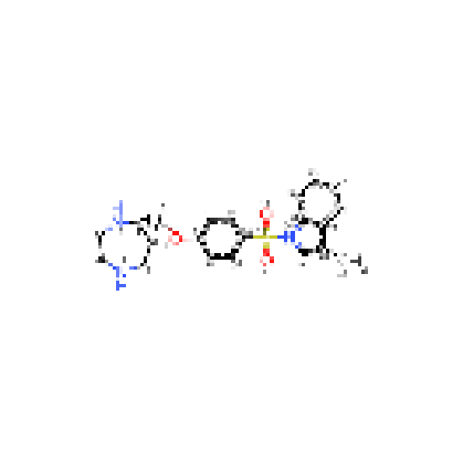 C1CNCCNC1.COc1ccc(S(=O)(=O)n2cc(C)c3ccccc32)cc1